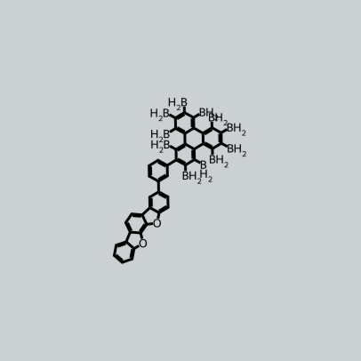 Bc1c(B)c(B)c2c(c1B)c1c(B)c(B)c(B)c(B)c1c1c(B)c(-c3cccc(-c4ccc5oc6c(ccc7c8ccccc8oc76)c5c4)c3)c(B)c(B)c21